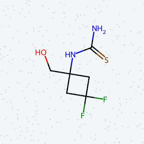 NC(=S)NC1(CO)CC(F)(F)C1